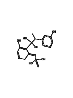 CC(c1cccc(O)c1)C(O)(O)C1=C(O)C=CCC1=NP(=O)(O)O